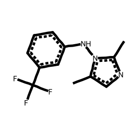 Cc1cnc(C)n1Nc1cccc(C(F)(F)F)c1